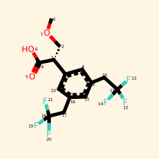 COC[C@@H](C(=O)O)c1cc(CC(F)(F)F)cc(CC(F)(F)F)c1